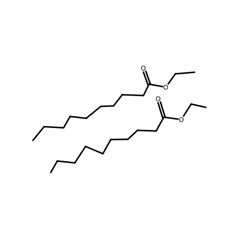 CCCCCCCCCC(=O)OCC.CCCCCCCCCC(=O)OCC